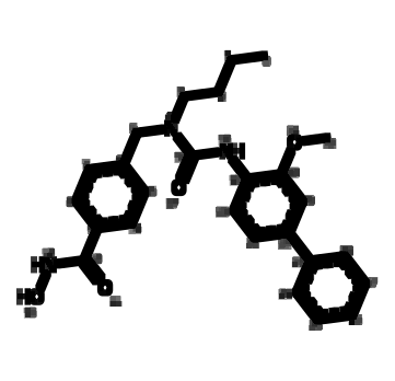 CCCCN(Cc1ccc(C(=O)NO)cc1)C(=O)Nc1ccc(-c2ccccc2)cc1OC